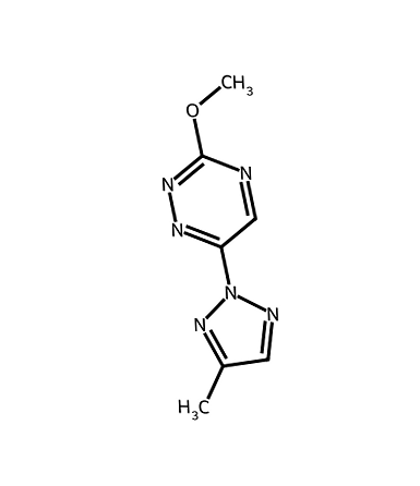 COc1ncc(-n2ncc(C)n2)nn1